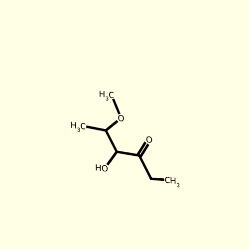 CCC(=O)C(O)C(C)OC